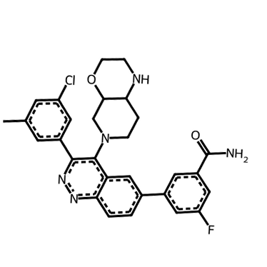 Cc1cc(Cl)cc(-c2nnc3ccc(-c4cc(F)cc(C(N)=O)c4)cc3c2N2CCC3NCCOC3C2)c1